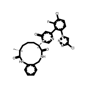 C[C@@H]1CCC[C@H](n2cnc(-c3c(-n4cc(Cl)nn4)ccc(Cl)c3F)cc2=O)C(=O)NCc2ccccc2NC1=O